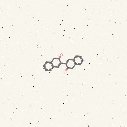 O=C1Cc2ccccc2C=C1C1=Cc2ccccc2CC1=O